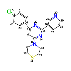 Clc1ccc(-c2cc(N3CCSCC3)nc(-c3cccnc3)n2)cc1